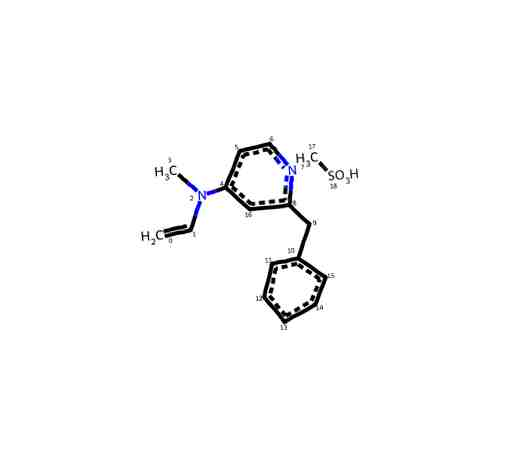 C=CN(C)c1ccnc(Cc2ccccc2)c1.CS(=O)(=O)O